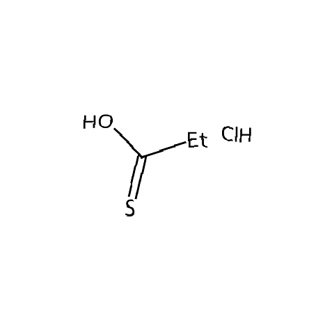 CCC(O)=S.Cl